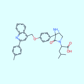 Cc1ccc(-c2cc(COc3ccc(C4(N)CCN(C(CC(C)C)C(=O)O)C4=O)cc3)c3ccccc3n2)cc1